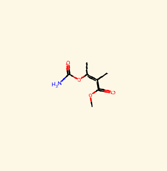 COC(=O)C(C)=C(C)OC(N)=O